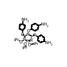 CC(C)ON1P(Oc2ccc(N)cc2)N(Oc2ccc(N)cc2)P(Oc2ccc(N)cc2)N=P1(OC(C)C)OC(C)C